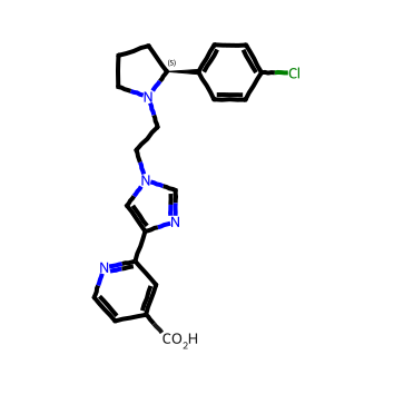 O=C(O)c1ccnc(-c2cn(CCN3CCC[C@H]3c3ccc(Cl)cc3)cn2)c1